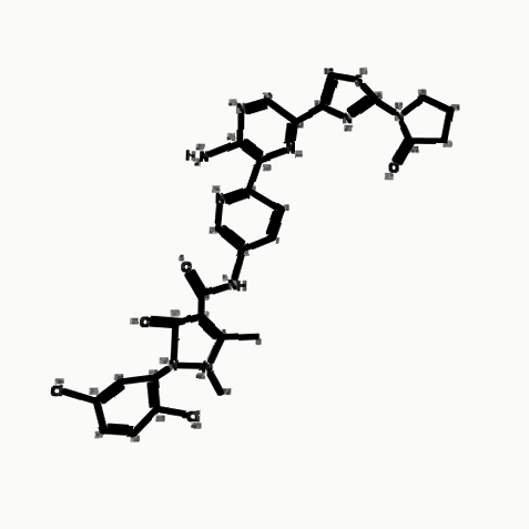 Cc1c(C(=O)Nc2ccc(-c3nc(-c4csc(N5CCCC5=O)n4)cnc3N)nc2)c(=O)n(-c2cc(Cl)ccc2Cl)n1C